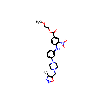 COCCOC(=O)c1ccc(Nc2cccc(N3CCN(Cc4onnc4C)CC3)c2)c([N+](=O)[O-])c1